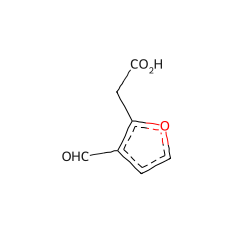 O=Cc1ccoc1CC(=O)O